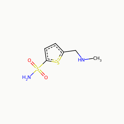 CNCc1ccc(S(N)(=O)=O)s1